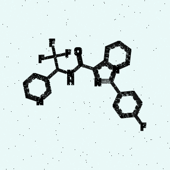 O=C(NC(c1cccnc1)C(F)(F)F)c1nc(-c2ccc(F)cc2)n2ccccc12